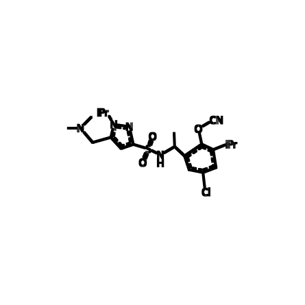 CC(C)c1cc(Cl)cc(C(C)NS(=O)(=O)c2cc(CN(C)C)n(C(C)C)n2)c1OC#N